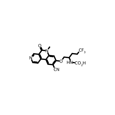 Cn1c(=O)c2cnccc2c2cc(C#N)c(OCC(CCC(F)(F)F)NC(=O)O)cc21